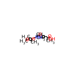 CC/C(=C\c1ccc(NC(=O)C(C)(C)CCCOc2cc(C)c(OC)cc2C)cc1)C(=O)O